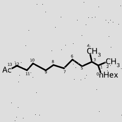 CCCCCCC(C)C(C)CCCCCCCCC(C)=O